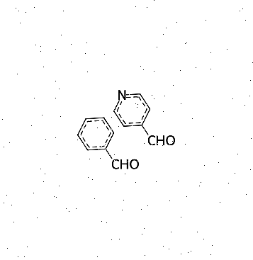 O=Cc1ccccc1.O=Cc1ccncc1